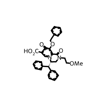 COCCN1C[C@H](C(c2ccccc2)c2ccccc2)n2cc(C(=O)O)c(=O)c(OCc3ccccc3)c2C1=O